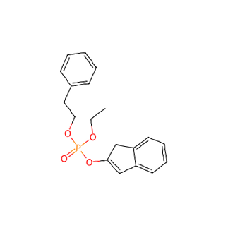 CCOP(=O)(OCCc1ccccc1)OC1=Cc2ccccc2C1